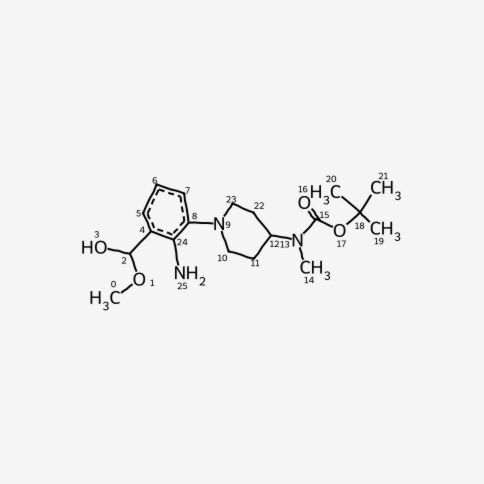 COC(O)c1cccc(N2CCC(N(C)C(=O)OC(C)(C)C)CC2)c1N